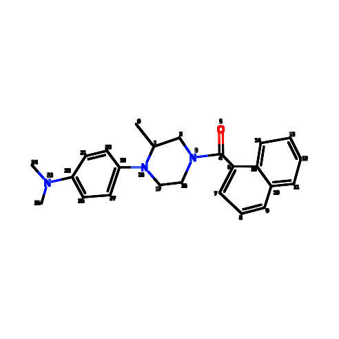 CC1CN(C(=O)c2cccc3ccccc23)CCN1c1ccc(N(C)C)cc1